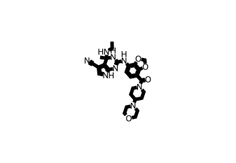 CCNC1(C)NC(Nc2ccc(C(=O)N3CCC(N4CCOCC4)CC3)c3c2OCO3)=Nc2[nH]cc(C#N)c21